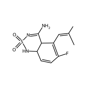 CC(C)=CC1=C(F)C=CC2NS(=O)(=O)N=C(N)C12